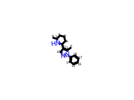 Cc1c(C2C[CH]CC(C)N2)cnn1-c1ccccc1